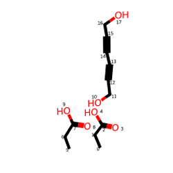 CCC(=O)O.CCC(=O)O.OCC#CC#CCO